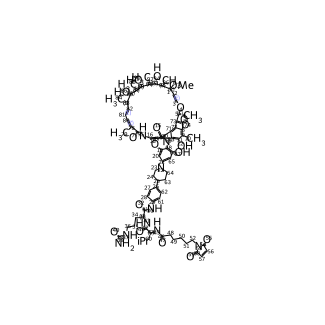 CO[C@H]1/C=C/O[C@@]2(C)Oc3c(C)c(O)c4c(=O)c(c5oc6cc(N7CCC(c8ccc(NC(=O)[C@H](CCCNC(N)=O)NC(=O)[C@@H](NC(=O)CCCCCN9C(=O)C=CC9=O)C(C)C)cc8)CC7)cc(O)c6nc-5c4c3C2=O)NC(=O)/C(C)=C\C=C\[C@H](C)[C@H](O)[C@@H](C)[C@@H](O)[C@@H](C)[C@H](O)[C@@H]1C